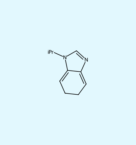 CC(C)n1cnc2c1=CCCC=2